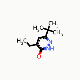 CCc1cc(C(C)(C)C)n[nH]c1=O